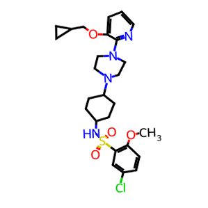 COc1ccc(Cl)cc1S(=O)(=O)NC1CCC(N2CCN(c3ncccc3OCC3CC3)CC2)CC1